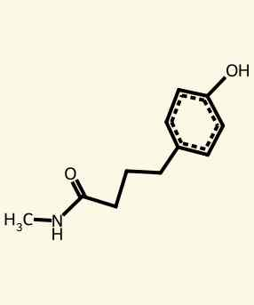 CNC(=O)CCCc1ccc(O)cc1